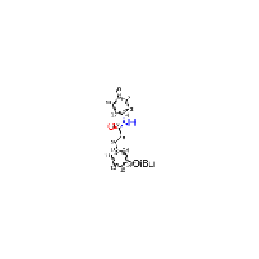 Cc1ccc(NC(=O)CCc2cccc(OCC(C)C)c2)cc1